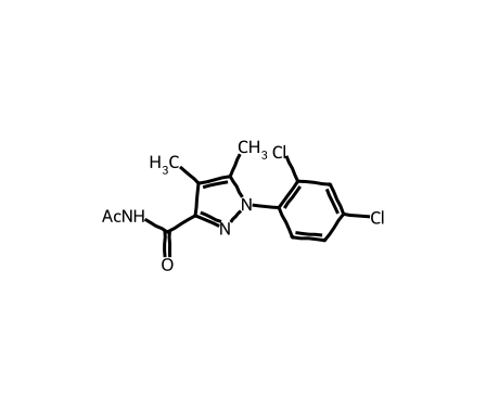 CC(=O)NC(=O)c1nn(-c2ccc(Cl)cc2Cl)c(C)c1C